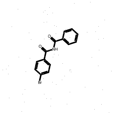 O=C(NC(=O)c1ccc(Br)cc1)c1ccccc1